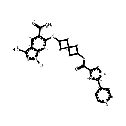 Cc1nn(C)c2nc(OC3CC4(CC(NC(=O)c5csc(-c6ccncc6)n5)C4)C3)c(C(N)=O)cc12